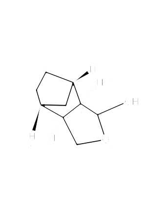 OC1OC[C@H]2[C@@H]3CC[C@@H](C3)[C@@H]12